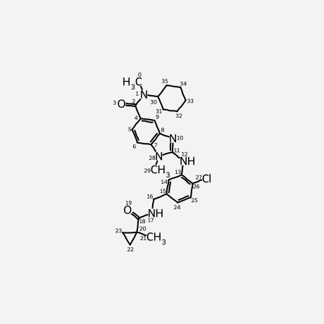 CN(C(=O)c1ccc2c(c1)nc(Nc1cc(CNC(=O)C3(C)CC3)ccc1Cl)n2C)C1CCCCC1